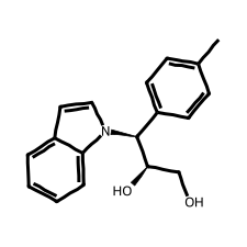 Cc1ccc([C@@H]([C@H](O)CO)n2ccc3ccccc32)cc1